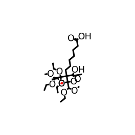 CCOC(OC)C(OCC)(OCC)C(CCCCCCC(=O)O)(C(=O)O)C(OCC)(OCC)C(OC)OCC